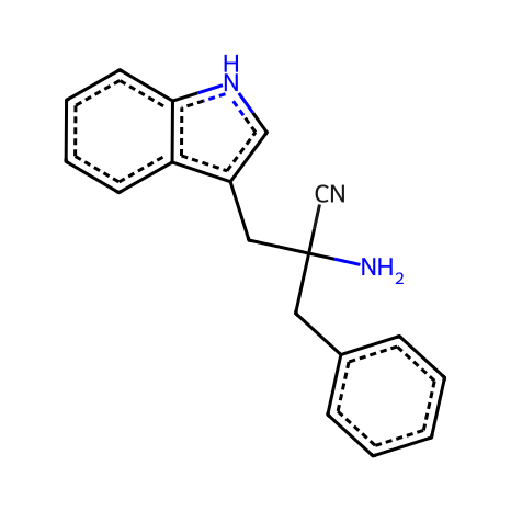 N#CC(N)(Cc1ccccc1)Cc1c[nH]c2ccccc12